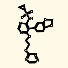 O=S(=O)(Nc1ncnc(OCCOc2nccnn2)c1-c1ccc2c(c1)OCO2)C1CC1